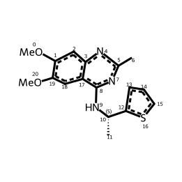 COc1cc2nc(C)nc(N[C@@H](C)c3cccs3)c2cc1OC